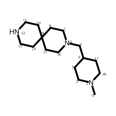 CN1CCC(CN2CCC3(CCNCC3)CC2)CC1